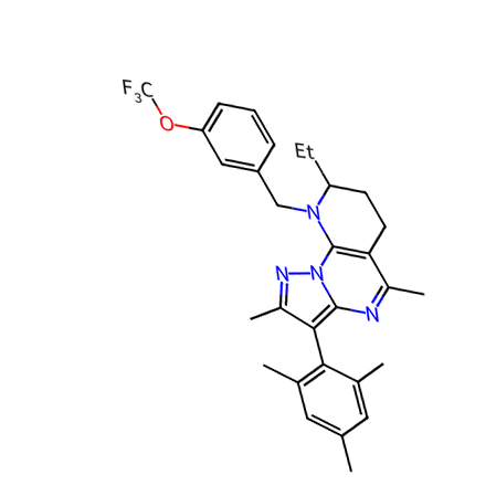 CCC1CCc2c(C)nc3c(-c4c(C)cc(C)cc4C)c(C)nn3c2N1Cc1cccc(OC(F)(F)F)c1